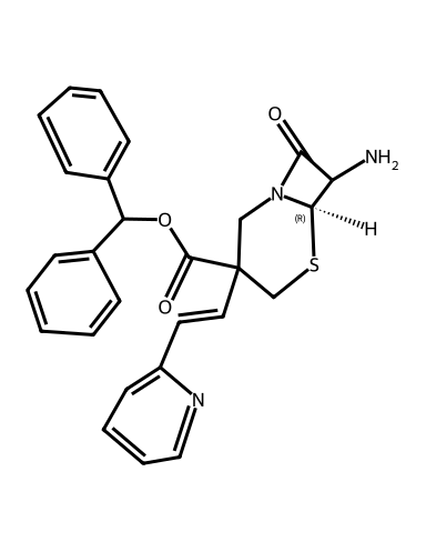 NC1C(=O)N2CC(C=Cc3ccccn3)(C(=O)OC(c3ccccc3)c3ccccc3)CS[C@H]12